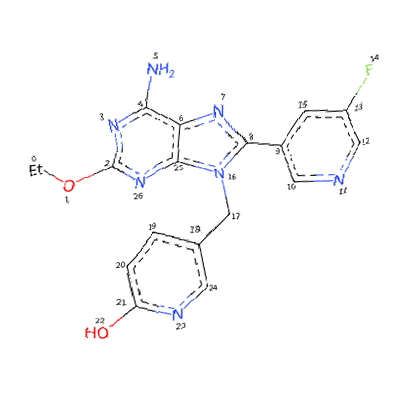 CCOc1nc(N)c2nc(-c3cncc(F)c3)n(Cc3ccc(O)nc3)c2n1